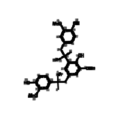 CCCC(C)(Cc1cc(OC)c(O)c(C(C)(CCC)Cc2ccc(O)c(OC)c2)c1)c1ccc(O)c(OC)c1